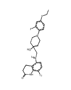 CCOc1ccc(N2CCC(O)(CNc3ccc(Cl)c4c3CCC(=O)N4)CC2)c(F)c1